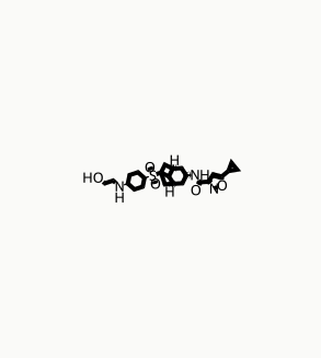 O=C(N[C@@H]1C[C@@H]2CC3(S(=O)(=O)[C@H]4CC[C@@H](NCCO)CC4)C[C@H](C1)C23)c1cc(C2CC2)on1